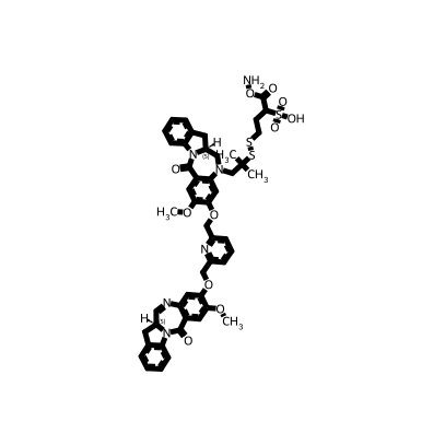 COc1cc2c(cc1OCc1cccc(COc3cc4c(cc3OC)C(=O)N3c5ccccc5C[C@H]3CN4CC(C)(C)SSCCC(C(=O)ON)S(=O)(=O)O)n1)N=C[C@@H]1Cc3ccccc3N1C2=O